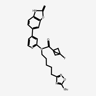 C=C1Nc2ccc(-c3ccnc(N(CCCCCc4noc(C(C)(C)C)n4)C(=O)C45CC(F)(C4)C5)c3)cc2O1